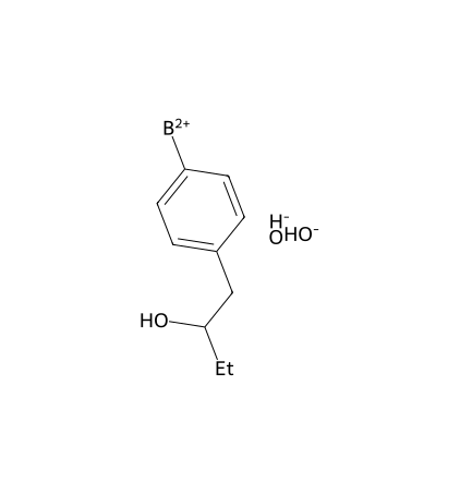 [B+2]c1ccc(CC(O)CC)cc1.[OH-].[OH-]